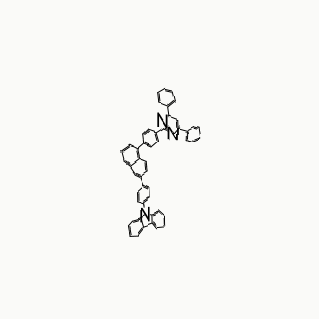 c1ccc(-c2cc(-c3ccccc3)nc(-c3ccc(-c4cccc5cc(-c6ccc(-n7c8ccccc8c8ccccc87)cc6)ccc45)cc3)n2)cc1